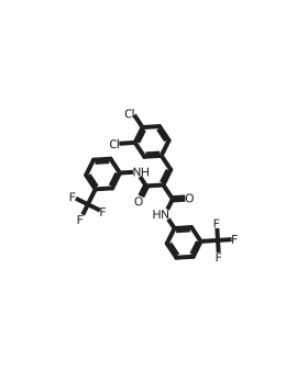 O=C(Nc1cccc(C(F)(F)F)c1)C(=Cc1ccc(Cl)c(Cl)c1)C(=O)Nc1cccc(C(F)(F)F)c1